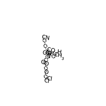 Cc1cccc(C(=O)N2C=C3CC4=C(C=C3CC2C(=O)NC(Cc2ccc(-c3ccc(C#N)cc3)cc2)C(=O)O)OCC(c2ccc(OCc3ccc(Cl)c(Cl)c3)cc2)O4)c1